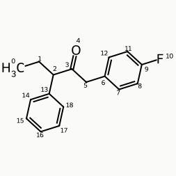 CCC(C(=O)Cc1ccc(F)cc1)c1ccccc1